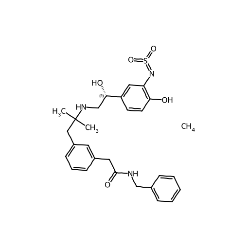 C.CC(C)(Cc1cccc(CC(=O)NCc2ccccc2)c1)NC[C@H](O)c1ccc(O)c(N=S(=O)=O)c1